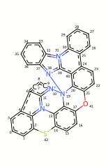 c1cc2c3c(c1)c1ccc[n+]4c1n3-c1c(ccc3c1[N+]41c4c(ccc5c6ccccc6n6c7ccccc7[n+]1c6c45)O3)S2